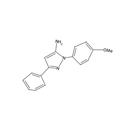 COc1ccc(-n2nc(-c3ccccc3)cc2N)cc1